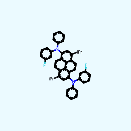 CC(C)c1cc(N(c2ccccc2)c2cccc(F)c2)c2ccc3c(C(C)C)cc(N(c4ccccc4)c4cccc(F)c4)c4ccc1c2c34